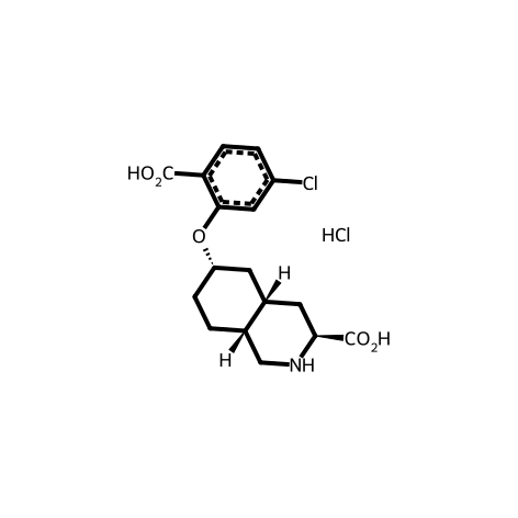 Cl.O=C(O)c1ccc(Cl)cc1O[C@H]1CC[C@H]2CN[C@H](C(=O)O)C[C@H]2C1